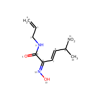 C=CCNC(=O)/C(C=CC(C)[N+](=O)[O-])=N/O